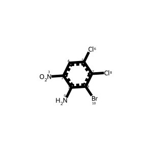 Nc1c([N+](=O)[O-])cc(Cl)c(Cl)c1Br